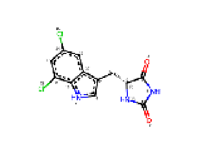 O=C1NC(=O)[C@@H](Cc2c[nH]c3c(Cl)cc(Cl)cc23)N1